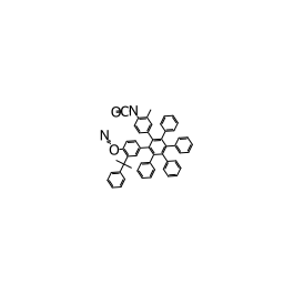 Cc1cc(-c2c(-c3ccccc3)c(-c3ccccc3)c(-c3ccccc3)c(-c3ccccc3)c2-c2ccc(OC#N)c(C(C)(C)c3ccccc3)c2)ccc1N=C=O